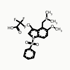 COc1ccc2c(c(Cl)cn2S(=O)(=O)c2ccccc2)c1CN(C)C.O=C(O)C(F)(F)F